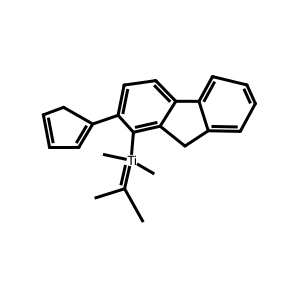 C[C](C)=[Ti]([CH3])([CH3])[c]1c(C2=CC=CC2)ccc2c1Cc1ccccc1-2